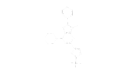 Cn1c(-c2ccncc2)nc2c(N3CCOCC3)nc(-n3ccc(C(F)(F)F)n3)nc21